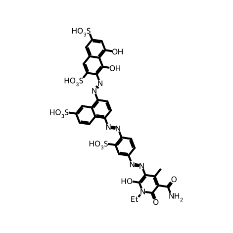 CCn1c(O)c(/N=N/c2ccc(/N=N/c3ccc(/N=N/c4c(S(=O)(=O)O)cc5cc(S(=O)(=O)O)cc(O)c5c4O)c4cc(S(=O)(=O)O)ccc34)c(S(=O)(=O)O)c2)c(C)c(C(N)=O)c1=O